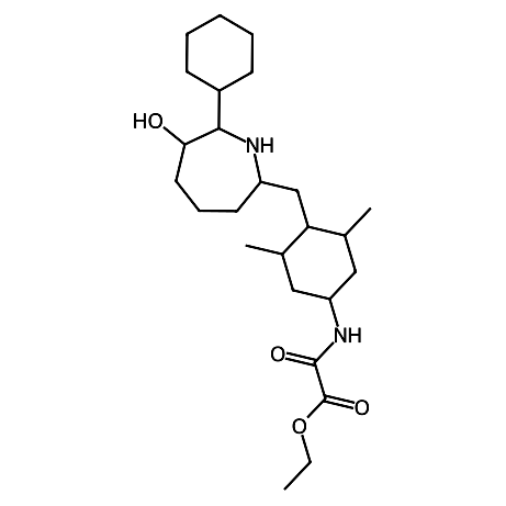 CCOC(=O)C(=O)NC1CC(C)C(CC2CCCC(O)C(C3CCCCC3)N2)C(C)C1